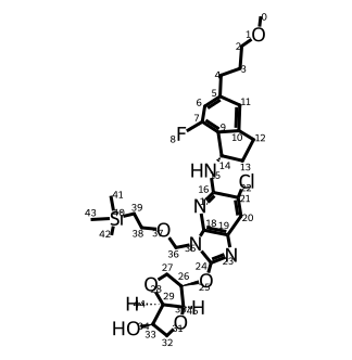 COCCCc1cc(F)c2c(c1)CC[C@@H]2Nc1nc2c(cc1Cl)nc(O[C@@H]1CO[C@H]3[C@@H]1OC[C@H]3O)n2COCC[Si](C)(C)C